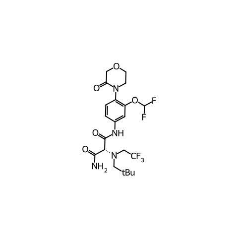 CC(C)(C)CN(CC(F)(F)F)[C@H](C(N)=O)C(=O)Nc1ccc(N2CCOCC2=O)c(OC(F)F)c1